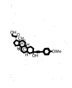 COc1ccc(C#C[C@@]2(O)CC[C@@]3(C)[C@H](CC[C@@H]4[C@@H]3CC[C@]3(C)[C@@H](C(=O)CO)CC[C@@H]43)C2)cc1